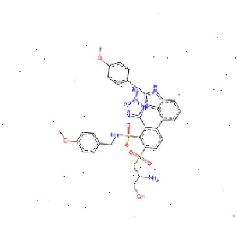 COc1ccc(CNS(=O)(=O)c2c(S(=O)(=O)CC(N)CO)ccc(-c3cccc4[nH]c(N)nc34)c2-c2nnn(Cc3ccc(OC)cc3)n2)cc1